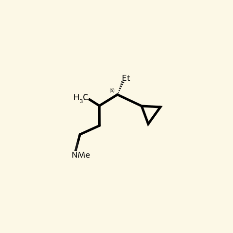 CC[C@@H](C(C)CCNC)C1CC1